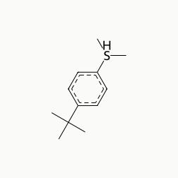 C[SH](C)c1ccc(C(C)(C)C)cc1